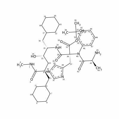 CNC(=O)[C@H](CC1CCCCC1)C[C@H](O)[C@H](CC1CCCCC1)[AsH]C(=O)[C@@](Cc1c[nH]cn1)(C(=O)OC(C)(C)C)N(C(=O)[C@H](C)N)c1ccccc1